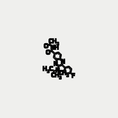 CC(=O)NC(=O)c1ccc2nc(-c3ccc(F)cc3)c(N(C)C(C)C)nc2c1